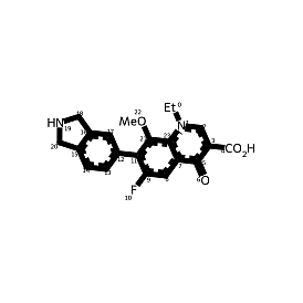 CCn1cc(C(=O)O)c(=O)c2cc(F)c(-c3ccc4c(c3)CNC4)c(OC)c21